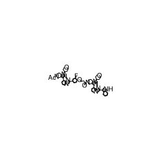 CC(=O)N1CCc2c(c(-c3cccn4cc(-c5ccc(OCCC(=O)N6CCc7c(c(-c8cccn9cc(-c%10c[nH]c%11ccccc%10%11)nc89)nn7C7CCOCC7)C6)c(F)c5)nc34)nn2C2CCOCC2)C1